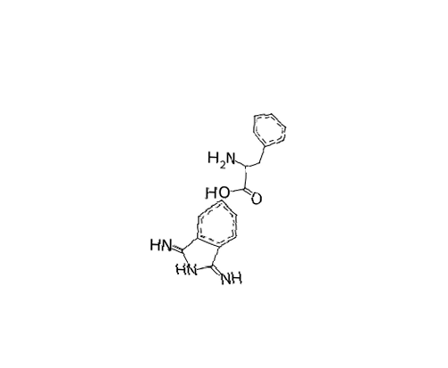 N=C1NC(=N)c2ccccc21.NC(Cc1ccccc1)C(=O)O